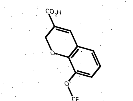 O=C(O)C1=Cc2cccc(OC(F)(F)F)c2OC1